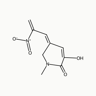 C=C(/C=C1/C=C(O)C(=O)N(C)C1)[N+](=O)[O-]